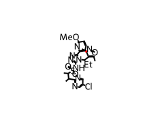 CCC(c1c(C)noc1C)n1c(NS(=O)(=O)C(C)C(C)c2ncc(Cl)cn2)nnc1-c1cccc(OC)n1